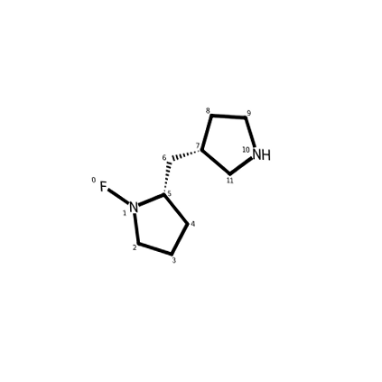 FN1CCC[C@H]1C[C@@H]1CCNC1